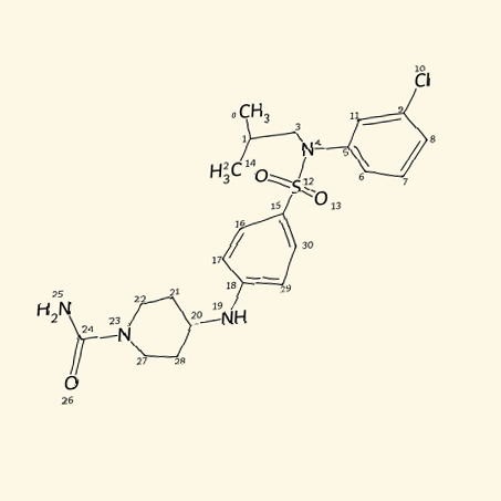 CC(C)CN(c1cccc(Cl)c1)S(=O)(=O)c1ccc(NC2CCN(C(N)=O)CC2)cc1